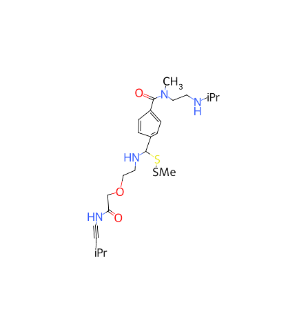 CSSC(NCCOCC(=O)NC#CC(C)C)c1ccc(C(=O)N(C)CCNC(C)C)cc1